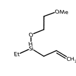 C=CC[SiH](CC)OCCOC